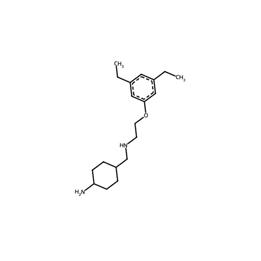 CCc1cc(CC)cc(OCCNCC2CCC(N)CC2)c1